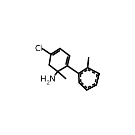 Cc1ccccc1C1=CC=C(Cl)CC1(C)N